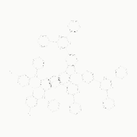 [C-]#[N+]c1ccc2c(c1)N(c1ccccc1)c1cc(-c3ccc4c(c3)c3cc(-c5nc(-c6ccccc6)nc(-c6ccccc6)n5)ccc3n4-c3ccc(-c4nc(-c5ccccc5)nc(-c5ccccc5)n4)cc3-c3nc(-c4ccccc4)nc(-c4ccccc4)n3)cc3c1B2c1ccc(C#N)cc1N3c1ccccc1